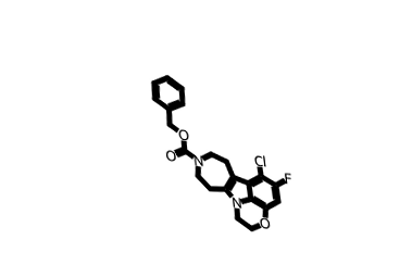 O=C(OCc1ccccc1)N1CCc2c(n3c4c(cc(F)c(Cl)c24)OCC3)CC1